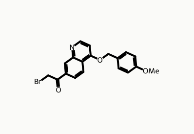 COc1ccc(COc2ccnc3cc(C(=O)CBr)ccc23)cc1